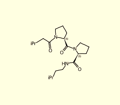 CC(C)CCNC(=O)[C@@H]1CCCN1C(=O)[C@@H]1CCCN1C(=O)CC(C)C